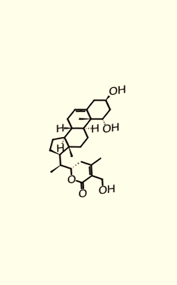 CC1=C(CO)C(=O)O[C@H]([C@@H](C)[C@H]2CC[C@H]3[C@@H]4CC=C5C[C@@H](O)C[C@H](O)[C@]5(C)[C@H]4CC[C@]23C)C1